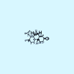 C[C@@H]1CCC2C(C1C1CC1)[C@H]1C[C@H]1C1=CC(=O)CC[C@@]12C